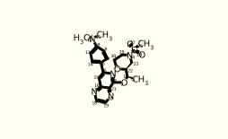 C[C@@H](Oc1nc(-c2ccc(N(C)C)cc2)cc2nccnc12)[C@@H]1CN(S(C)(=O)=O)CCO1